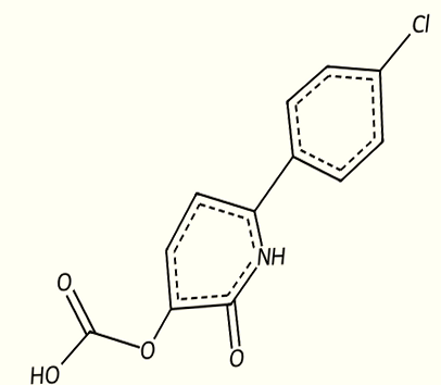 O=C(O)Oc1ccc(-c2ccc(Cl)cc2)[nH]c1=O